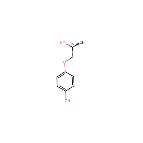 C[C@H](O)COc1ccc(O)cc1